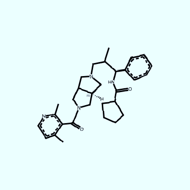 Cc1ccnc(C)c1C(=O)N1CC2CN(CC(C)C(NC(=O)C3CCCC3)c3ccccc3)C[C@H]2C1